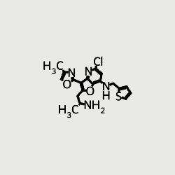 Cc1coc(-c2c(C[C@H](C)N)oc3c(NCc4cccs4)cc(Cl)nc23)n1